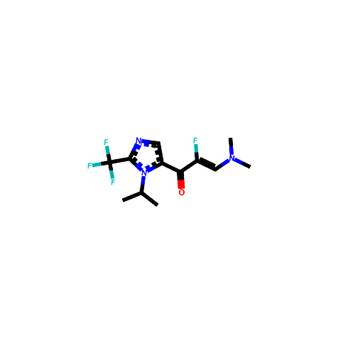 CC(C)n1c(C(=O)C(F)=CN(C)C)cnc1C(F)(F)F